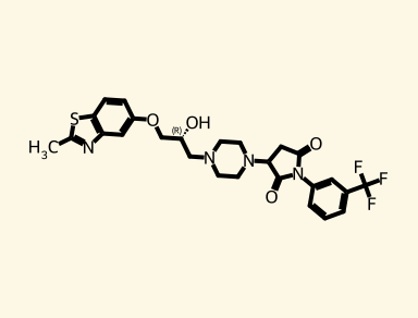 Cc1nc2cc(OC[C@H](O)CN3CCN(C4CC(=O)N(c5cccc(C(F)(F)F)c5)C4=O)CC3)ccc2s1